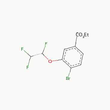 CCOC(=O)c1ccc(Br)c(OC(F)C(F)F)c1